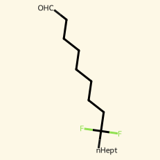 CCCCCCCC(F)(F)CCCCCCCC=O